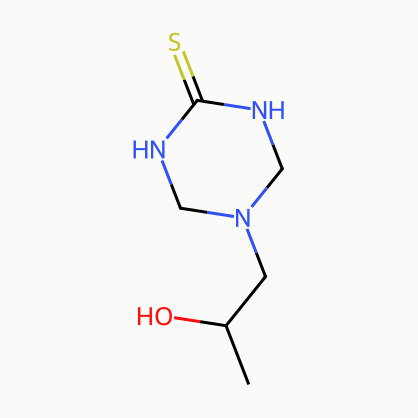 CC(O)CN1CNC(=S)NC1